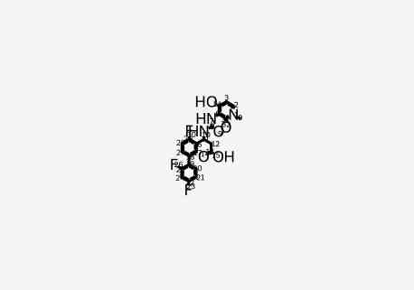 Cn1ccc(O)c(NC(=O)NC(CC(=O)O)c2cc(-c3ccc(F)cc3F)ccc2F)c1=O